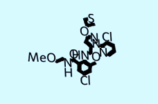 COCCNC(=O)c1cc(Cl)cc(C)c1NC(=O)c1cc(OC2CSC2)nn1-c1ncccc1Cl